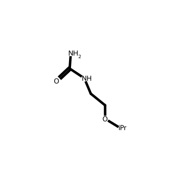 CC(C)OCCNC(N)=O